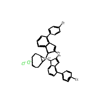 CCc1ccc(-c2cccc3c2C=C(C(C)C)[CH]3[Zr+2]2([CH]3C(C(C)C)=Cc4c(-c5ccc(CC)cc5)cccc43)[CH]3CCCC[CH]32)cc1.[Cl-].[Cl-]